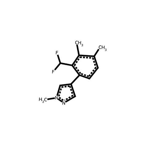 Cc1ccc(-c2cnn(C)c2)c(C(F)F)c1C